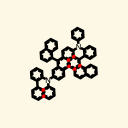 c1ccc(-c2ccccc2N(c2ccccc2)c2ccc3c(-c4cccc5ccccc45)c4cc(N(c5ccccc5)c5ccccc5-c5ccccc5)ccc4c(-c4ccc5ccccc5c4)c3c2)cc1